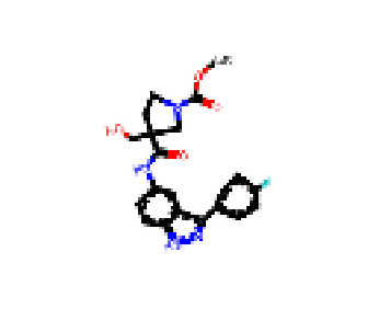 CC(C)(C)OC(=O)N1CCC(CO)(C(=O)Nc2ccc3[nH]nc(-c4ccc(F)cc4)c3c2)C1